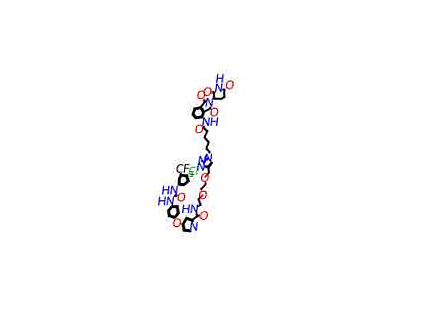 O=C1CCC(N2C(=O)c3cccc(NC(=O)CCCCCn4cc(COCCOCCNC(=O)c5cc(Oc6ccc(NC(=O)Nc7ccc(Cl)c(C(F)(F)F)c7)cc6)ccn5)nn4)c3C2=O)C(=O)N1